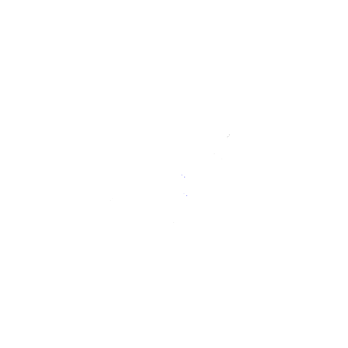 COc1ccc(C2(C(=O)Nc3ccc(Cc4ccccc4O)cn3)CC2)cc1